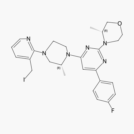 C[C@@H]1CN(c2ncccc2CI)CCN1c1cc(-c2ccc(F)cc2)nc(N2CCOC[C@H]2C)n1